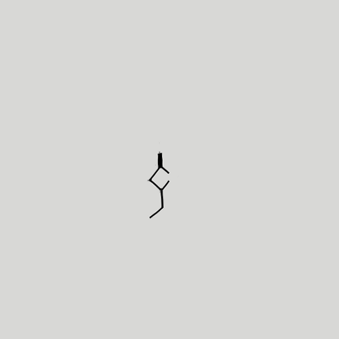 CCC1CC(=O)O1